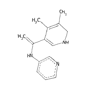 C=C(Nc1cccnc1)C1=CNCC(C)=C1C